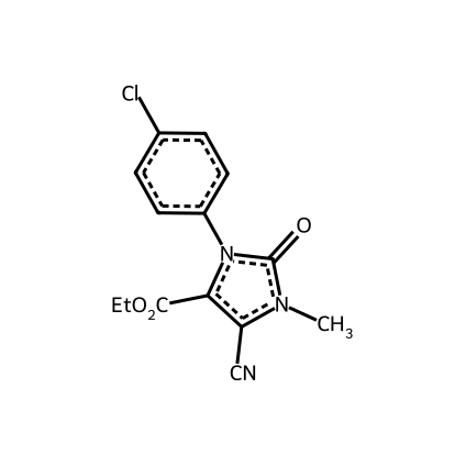 CCOC(=O)c1c(C#N)n(C)c(=O)n1-c1ccc(Cl)cc1